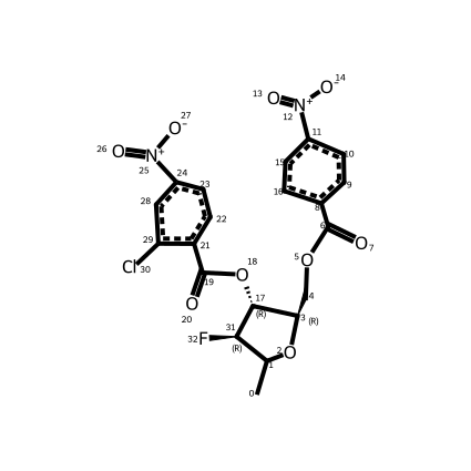 CC1O[C@H](COC(=O)c2ccc([N+](=O)[O-])cc2)[C@@H](OC(=O)c2ccc([N+](=O)[O-])cc2Cl)[C@@H]1F